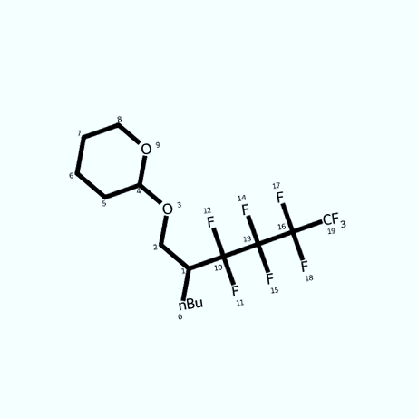 CCCCC(COC1CCCCO1)C(F)(F)C(F)(F)C(F)(F)C(F)(F)F